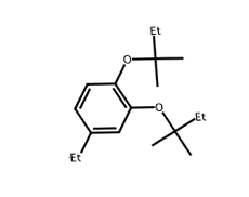 C[CH]c1ccc(OC(C)(C)CC)c(OC(C)(C)CC)c1